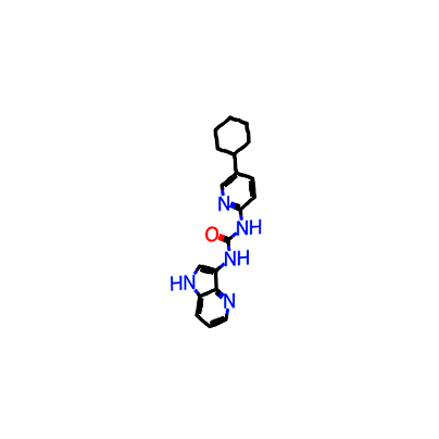 O=C(Nc1ccc(C2CCCCC2)cn1)Nc1c[nH]c2cccnc12